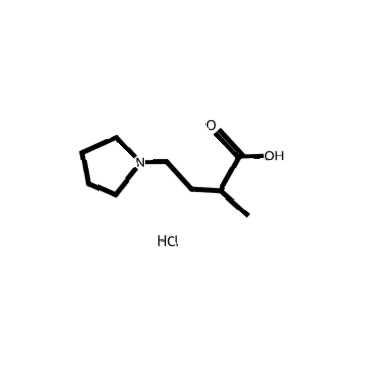 CC(CCN1CCCC1)C(=O)O.Cl